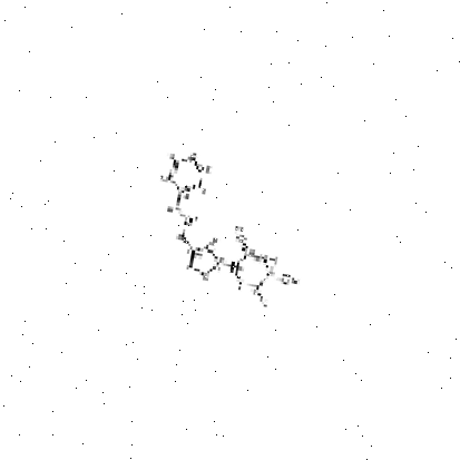 Cc1cn([C@H]2CC[C@@H](COCc3ccccc3)O2)c(=O)[nH]c1=O